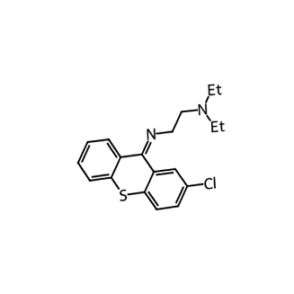 CCN(CC)CCN=c1c2ccccc2sc2ccc(Cl)cc12